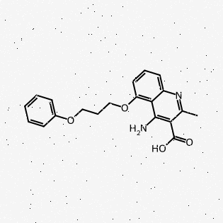 Cc1nc2cccc(OCCCOc3ccccc3)c2c(N)c1C(=O)O